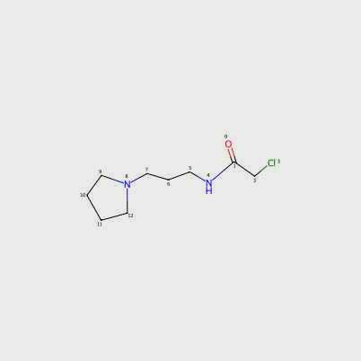 O=C(CCl)NCCCN1CCCC1